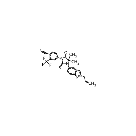 C=CCn1cc2cc(N3C(=S)N(c4ccc(C#N)c(C(F)(F)F)c4)C(=O)C3(C)C)ccc2n1